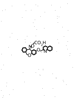 O=C(O)CON=C1c2ccccc2COc2ccc(OCc3ccc4ccccc4n3)cc21